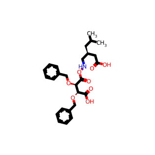 CC(C)C[C@H](CNOC(=O)[C@H](OCc1ccccc1)[C@@H](OCc1ccccc1)C(=O)O)CC(=O)O